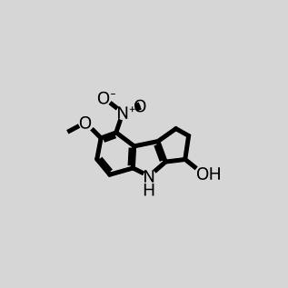 COc1ccc2[nH]c3c(c2c1[N+](=O)[O-])CCC3O